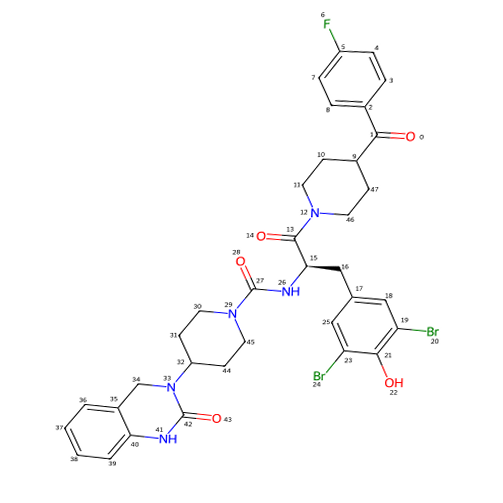 O=C(c1ccc(F)cc1)C1CCN(C(=O)[C@@H](Cc2cc(Br)c(O)c(Br)c2)NC(=O)N2CCC(N3Cc4ccccc4NC3=O)CC2)CC1